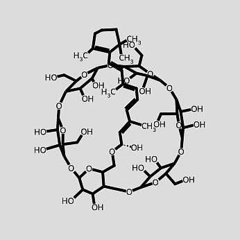 CC1=C(/C=C/C(C)=C/C=C/C(C)=C/[C@H](O)OCC2OC3OC4C(CO)OC(OC5C(CO)OC(OC6C(CO)OC(OC7C(CO)OC(OC8C(CO)OC(OC2C(O)C3O)C(O)C8O)C(O)C7O)C(O)C6O)C(O)C5O)C(O)C4O)C(C)(C)CCC1